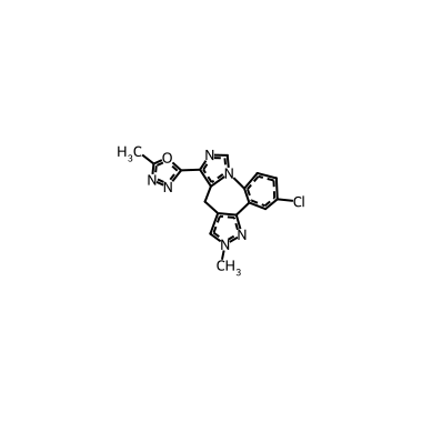 Cc1nnc(-c2ncn3c2Cc2cn(C)nc2-c2cc(Cl)ccc2-3)o1